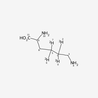 [2H]C([2H])(CN)C([2H])([2H])CC(N)C(=O)O